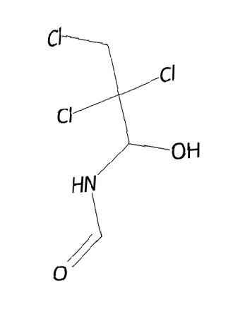 O=CNC(O)C(Cl)(Cl)CCl